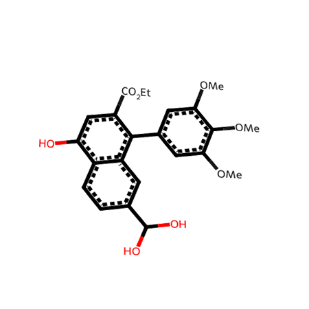 CCOC(=O)c1cc(O)c2ccc(C(O)O)cc2c1-c1cc(OC)c(OC)c(OC)c1